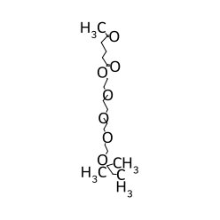 CCC(C)(C)OCCOCCOCCOCCOC(=O)CCCC(C)=O